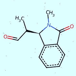 CC(C=O)[C@@H]1c2ccccc2C(=O)N1C